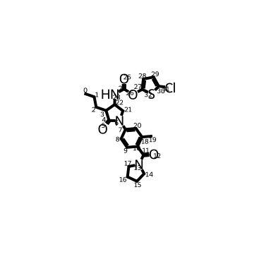 CCCC1C(=O)N(c2ccc(C(=O)N3CCCC3)c(C)c2)CC1NC(=O)Oc1ccc(Cl)s1